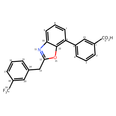 O=C(O)c1cccc(-c2cccc3nc(Cc4cccc(C(F)(F)F)c4)oc23)c1